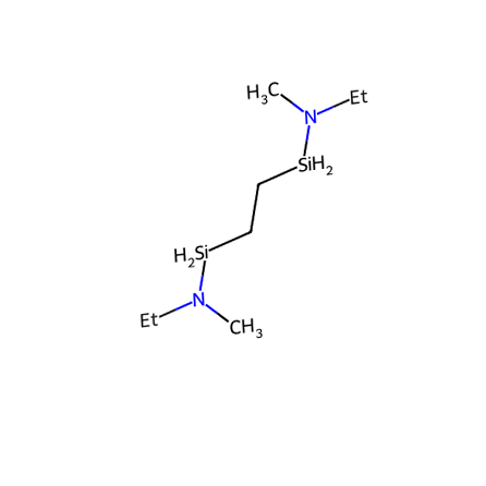 CCN(C)[SiH2]CC[SiH2]N(C)CC